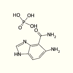 NC(=O)c1c(N)ccc2[nH]cnc12.O=P(O)(O)O